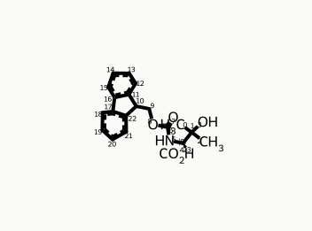 CC(C)(O)[C@H](NC(=O)OCC1c2ccccc2-c2ccccc21)C(=O)O